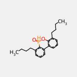 CCCCc1cccc2c1O[PH](=O)c1c(CCCC)cccc1-2